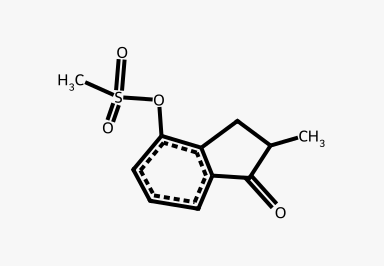 CC1Cc2c(OS(C)(=O)=O)cccc2C1=O